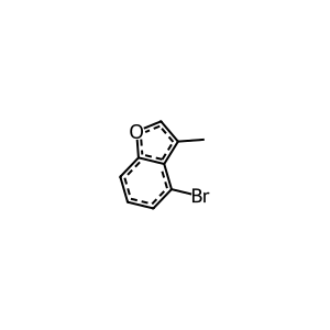 Cc1coc2cccc(Br)c12